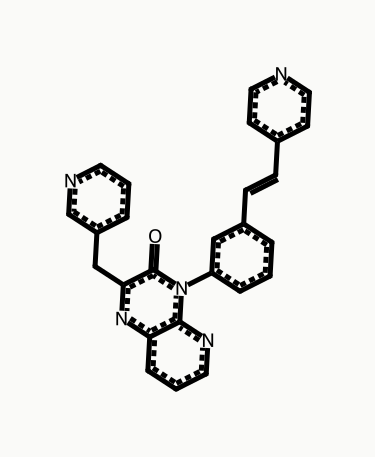 O=c1c(Cc2cccnc2)nc2cccnc2n1-c1cccc(C=Cc2ccncc2)c1